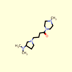 CN1CCN(C(=O)CCCN2CCC(N(C)C)C2)CC1